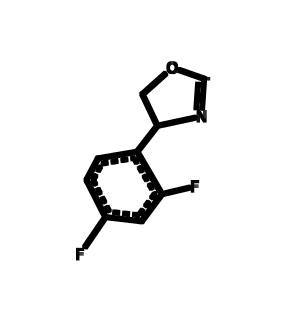 Fc1ccc(C2CO[C]=N2)c(F)c1